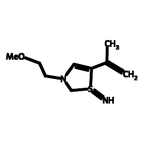 C=C(C)C1=CN(CCOC)CS1=N